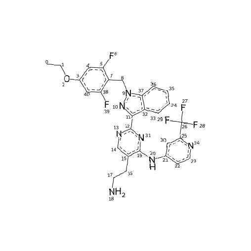 CCOc1cc(F)c(Cn2nc(-c3ncc(CCN)c(Nc4ccnc(C(F)(F)F)c4)n3)c3ccccc32)c(F)c1